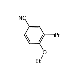 CCOc1ccc(C#N)cc1C(C)C